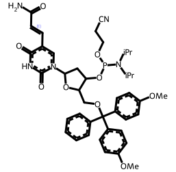 COc1ccc(C(OCC2OC(n3cc(/C=C/C(N)=O)c(=O)[nH]c3=O)CC2OP(OCCC#N)N(C(C)C)C(C)C)(c2ccccc2)c2ccc(OC)cc2)cc1